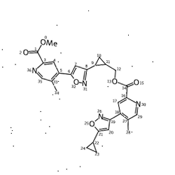 COC(=O)c1cc(-c2cc(C3CC3COC(=O)c3cc(-c4cc(C5CC5)on4)c(C)cn3)no2)c(C)cn1